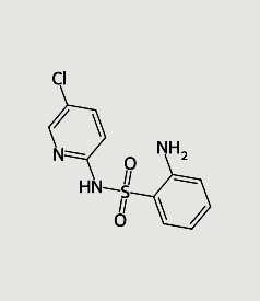 Nc1ccccc1S(=O)(=O)Nc1ccc(Cl)cn1